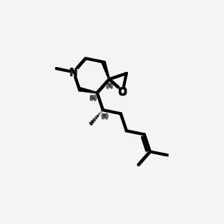 CC(C)=CCC[C@H](C)[C@H]1CN(C)CC[C@]12CO2